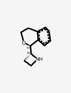 c1ccc2c(c1)CCO[C@@H]2[C@H]1CCN1